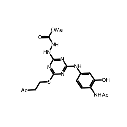 COC(=O)NNc1nc(Nc2ccc(NC(C)=O)c(O)c2)nc(SCCC(C)=O)n1